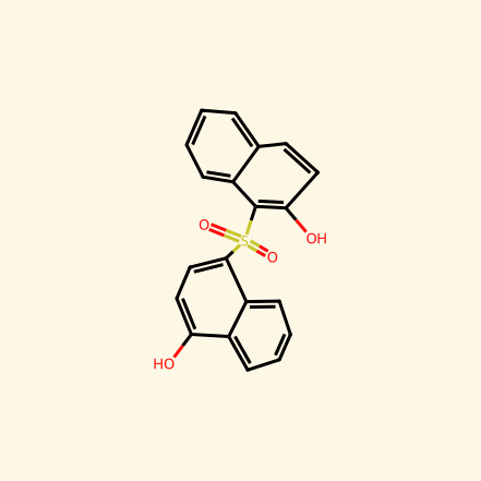 O=S(=O)(c1c(O)ccc2ccccc12)c1ccc(O)c2ccccc12